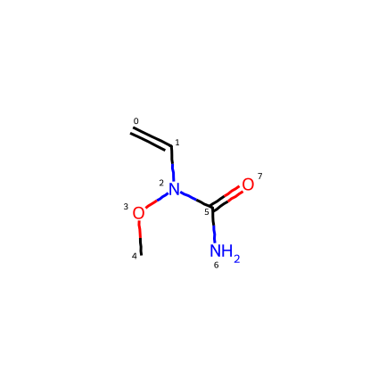 C=CN(OC)C(N)=O